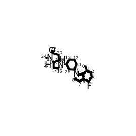 Cc1ccc(F)c2ccn([C@@H]3CCC[C@@H](N4CC[C@@H]5[C@H]4CC(=O)N5C)C3)c12